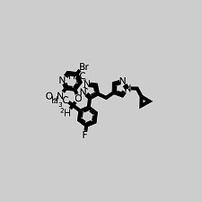 [2H]C(C)(Oc1cc(Br)cnc1[N+](=O)[O-])c1cc(F)ccc1-c1nn(C)cc1Cc1cnn(CC2CC2)c1